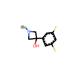 CCC(C)N1CC(O)(c2cc(F)cc(F)c2)C1